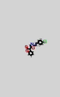 O=C1Oc2ccccc2C1c1cnc(/C=C/c2ccc(Cl)cc2)o1